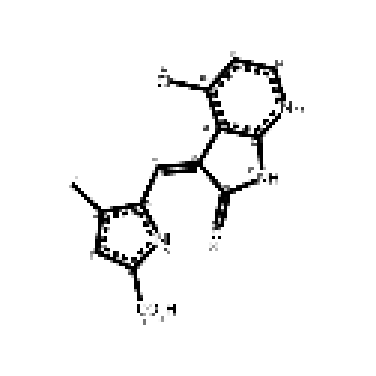 Cc1cc(C(=O)O)[nH]c1C=C1C(=O)Nc2nccc(Cl)c21